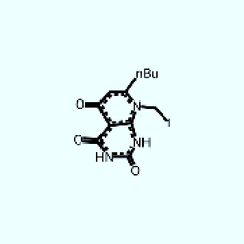 CCCCc1cc(=O)c2c(=O)[nH]c(=O)[nH]c2n1CI